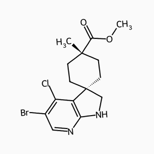 COC(=O)[C@]1(C)CC[C@]2(CC1)CNc1ncc(Br)c(Cl)c12